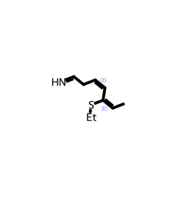 C/C=C(\C=C/CC=N)SCC